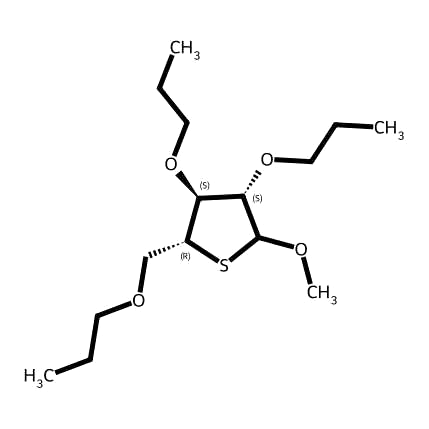 CCCOC[C@H]1SC(OC)[C@@H](OCCC)[C@@H]1OCCC